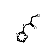 O=C(CCl)Oc1nccs1